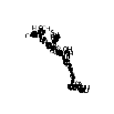 CC1(C)CCC(CN2CCN(c3ccc(C(=O)NS(=O)(=O)c4ccc(NCC5CCN(CCOCCOCC#Cc6cccc7c6C(=O)N(C6CCC(=O)NC6=O)C7)CC5)c(N(O)O)c4)c(Oc4cnc5[nH]ccc5c4)c3)CC2)=C(c2ccc(Cl)cc2)C1